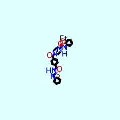 CCOc1ccccc1NC(=O)N1CCN(C(=O)c2ccc(C(=O)Nc3nc4ccccc4s3)cc2)CC1